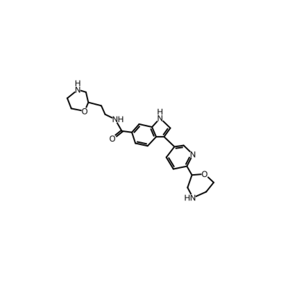 O=C(NCCC1CNCCO1)c1ccc2c(-c3ccc(C4CNCCO4)nc3)c[nH]c2c1